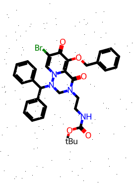 CC(C)(C)OC(=O)NCCN1CN(C(c2ccccc2)c2ccccc2)n2cc(Br)c(=O)c(OCc3ccccc3)c2C1=O